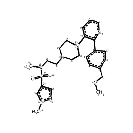 COCc1ccc(-c2ncccc2N2CCN(CCN(C)S(=O)(=O)c3cnn(C)c3)CC2)cc1